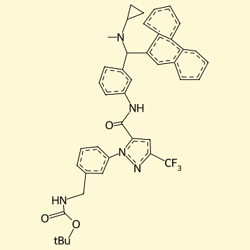 CN(C1CC1)C(c1cccc(NC(=O)c2cc(C(F)(F)F)nn2-c2cccc(CNC(=O)OC(C)(C)C)c2)c1)c1cc2ccccc2c2ccccc12